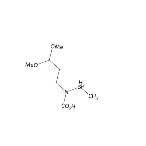 COC(CCN([SiH2]C)C(=O)O)OC